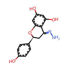 NN=C1C[C@@H](c2ccc(O)cc2)Oc2cc(O)cc(O)c21